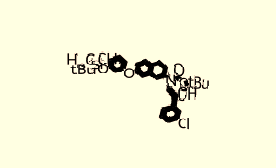 CC(C)(C)OC(=O)N(C[C@@H](O)c1cccc(Cl)c1)[C@H]1CCc2ccc(Oc3cccc(O[Si](C)(C)C(C)(C)C)c3)cc2C1